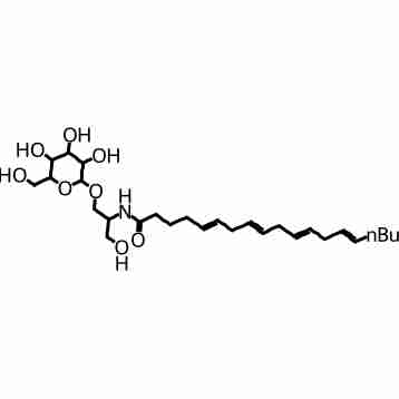 CCCCC=CCC=CCC=CCC=CCCCC(=O)NC(CO)COC1OC(CO)C(O)C(O)C1O